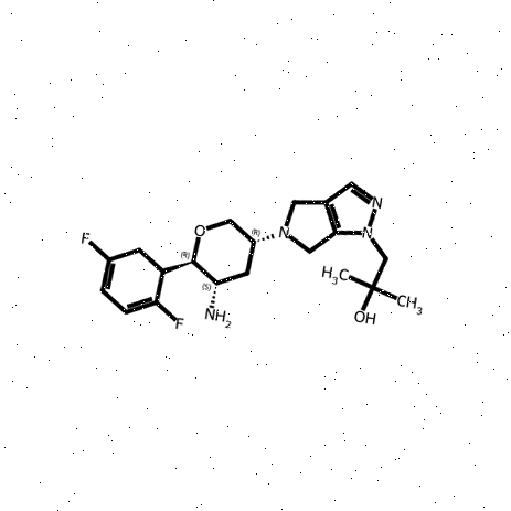 CC(C)(O)Cn1ncc2c1CN([C@H]1CO[C@H](C3CC(F)=CC=C3F)[C@@H](N)C1)C2